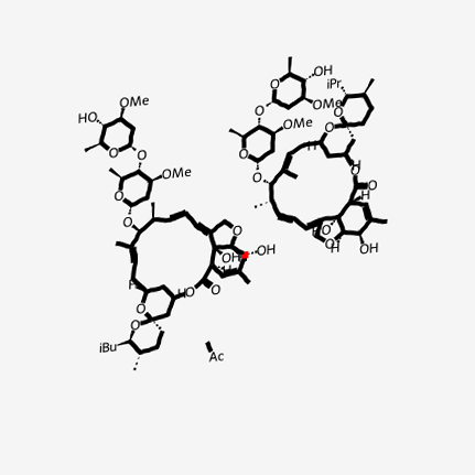 CC(C)=O.CC[C@H](C)[C@H]1O[C@]2(CC[C@@H]1C)C[C@@H]1C[C@@H](C/C=C(\C)[C@@H](O[C@H]3C[C@H](OC)[C@@H](O[C@H]4C[C@H](OC)[C@@H](O)[C@H](C)O4)[C@H](C)O3)[C@@H](C)/C=C/C=C3\CO[C@@H]4[C@H](O)C(C)=C[C@@H](C(=O)O1)[C@]34O)O2.CO[C@H]1C[C@H](O[C@H]2[C@H](C)O[C@@H](O[C@@H]3/C(C)=C/C[C@@H]4C[C@@H](C[C@]5(CC[C@H](C)[C@@H](C(C)C)O5)O4)OC(=O)[C@@H]4C=C(C)[C@@H](O)[C@H]5OC/C(=C\C=C\[C@@H]3C)[C@]54O)C[C@@H]2OC)O[C@@H](C)[C@@H]1O